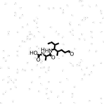 CCC(C)C(NC(=O)C(C)NC(=O)O)C(C)CCC=O